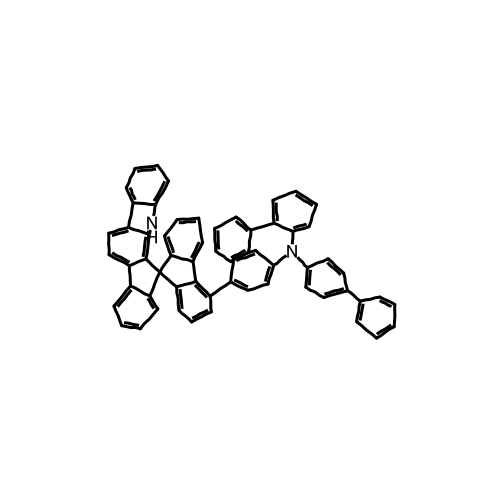 c1ccc(-c2ccc(N(c3ccc(-c4cccc5c4-c4ccccc4C54c5ccccc5-c5ccc6c([nH]c7ccccc76)c54)cc3)c3ccccc3-c3ccccc3)cc2)cc1